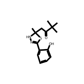 CC1(CC(=O)C(C)(C)C)NN=C(c2ccccc2O)S1